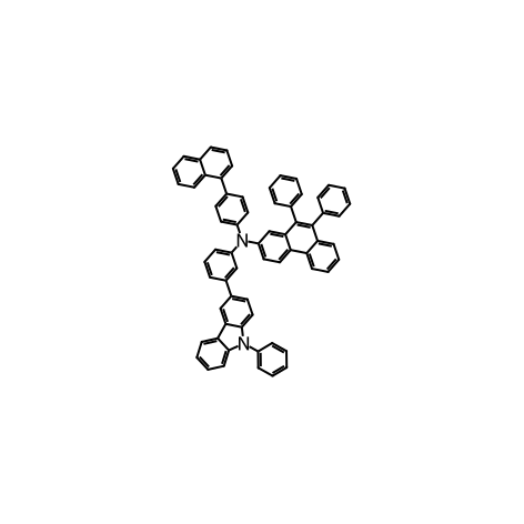 c1ccc(-c2c(-c3ccccc3)c3cc(N(c4ccc(-c5cccc6ccccc56)cc4)c4cccc(-c5ccc6c(c5)c5ccccc5n6-c5ccccc5)c4)ccc3c3ccccc23)cc1